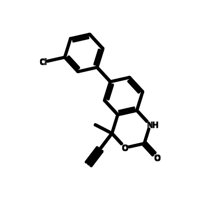 C#CC1(C)OC(=O)Nc2ccc(-c3cccc(Cl)c3)cc21